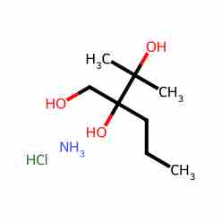 CCCC(O)(CO)C(C)(C)O.Cl.N